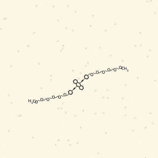 COCCOCCOCCOCCOCCOCc1ccc(C#Cc2c3ccccc3c(C#Cc3ccc(COCCOCCOCCOCCOCCOC)cc3)c3ccccc23)cc1